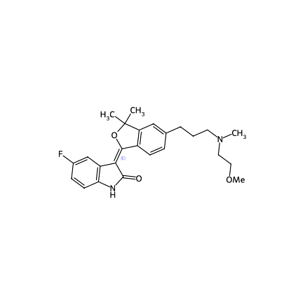 COCCN(C)CCCc1ccc2c(c1)C(C)(C)O/C2=C1/C(=O)Nc2ccc(F)cc21